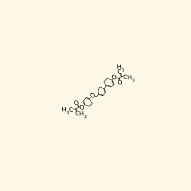 C=C(C)C(=O)OC1=CC=C(OCC2=CC=C(C3=CC=C(OC(=O)C(=C)C)CC3)CC2)CC1